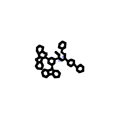 C=N/C(=C\C(=N/Cc1ccccc1)c1ccc(-c2ccccc2)cc1)c1cc(-c2nc3ccccc3c3oc4ccccc4c23)cc(-n2c3ccccc3c3ccccc32)c1